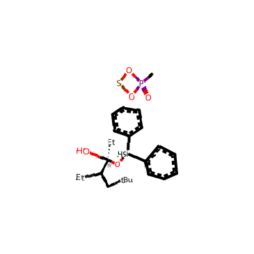 CCC(CC(C)(C)C)[C@](O)(CC)O[SiH](c1ccccc1)c1ccccc1.CP1(=O)OSO1